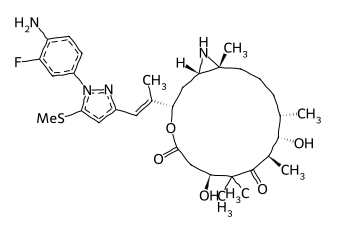 CSc1cc(/C=C(\C)[C@@H]2C[C@@H]3N[C@]3(C)CCC[C@H](C)[C@H](O)[C@@H](C)C(=O)C(C)(C)[C@@H](O)CC(=O)O2)nn1-c1ccc(N)c(F)c1